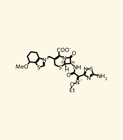 CCO/N=C(\C(=O)N[C@@H]1C(=O)N2C(C(=O)[O-])=C(C[n+]3csc4c3CCCC4OC)CS[C@@H]12)c1nsc(N)n1